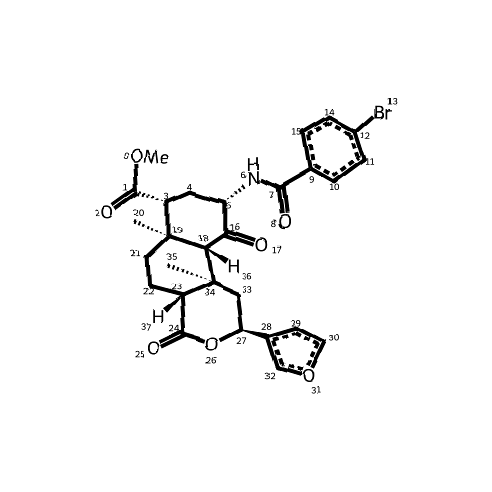 COC(=O)[C@@H]1C[C@H](NC(=O)c2ccc(Br)cc2)C(=O)[C@H]2[C@@]1(C)CC[C@H]1C(=O)O[C@H](c3ccoc3)C[C@]21C